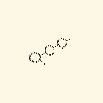 Cc1ccc(-c2ccc(-c3ccccc3F)cc2)cc1